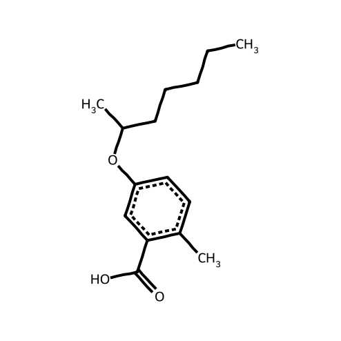 CCCCCC(C)Oc1ccc(C)c(C(=O)O)c1